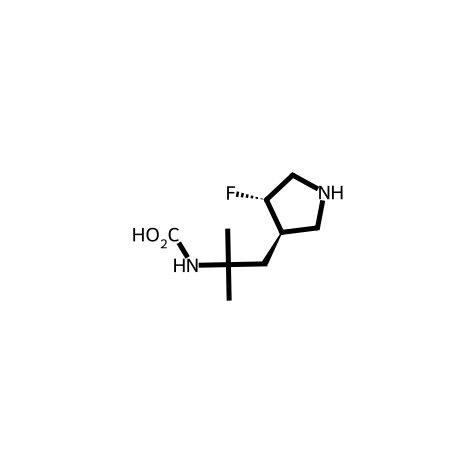 CC(C)(C[C@@H]1CNC[C@H]1F)NC(=O)O